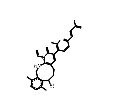 C=CN1C(=C)C(C(/C=C\C(=C)/C=C/C(=C)C)=C(C)C)=CC2=C1NCc1c(C)ccc(C)c1C(CC)CC2